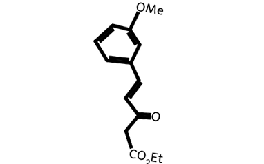 CCOC(=O)CC(=O)C=Cc1cccc(OC)c1